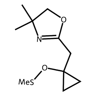 CSOC1(CC2=NC(C)(C)CO2)CC1